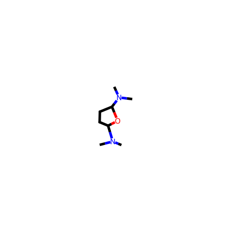 CN(C)C1CCC(N(C)C)O1